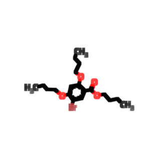 CCCCOC(=O)c1cc(Br)c(OCCCC)cc1OCCCC